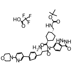 CC(C)(C)OC(=O)NC[C@H]1CC[C@H](C(=O)N(C(=O)[C@@H](N)Cc2ccc(-c3ccc(N4CCOCC4)nc3)cc2)c2ccc3c(=O)[nH][nH]c3c2)CC1.O=C(O)C(F)(F)F